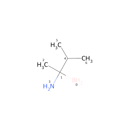 BC(C)(N)C(C)C